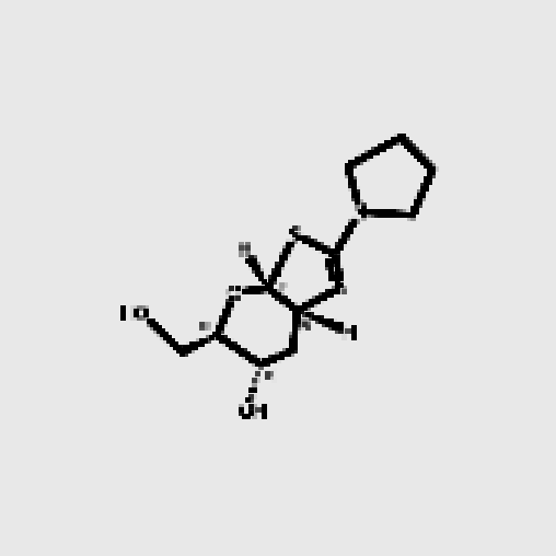 OC[C@H]1O[C@@H]2SC(N3CCCC3)=N[C@@H]2C[C@@H]1O